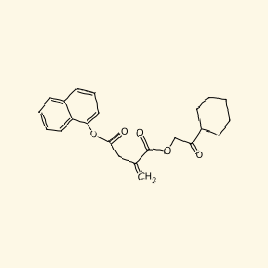 C=C(CC(=O)Oc1cccc2ccccc12)C(=O)OCC(=O)C1CCCCC1